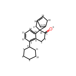 O=C1CCc2c(C3CCCCC3)cccc2C12CC1=CCC2C1